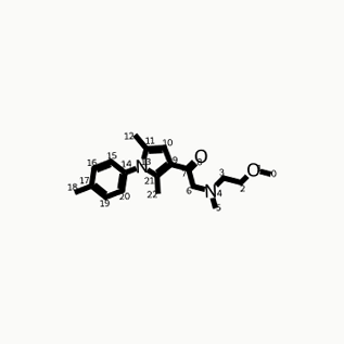 COCCN(C)CC(=O)c1cc(C)n(-c2ccc(C)cc2)c1C